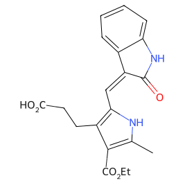 CCOC(=O)c1c(C)[nH]c(/C=C2\C(=O)Nc3ccccc32)c1CCC(=O)O